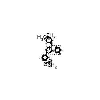 CC1(C)CCC(CN2CCN(c3cccc(S(C)(=O)=O)c3)C[C@H]2c2ccccc2)CC1